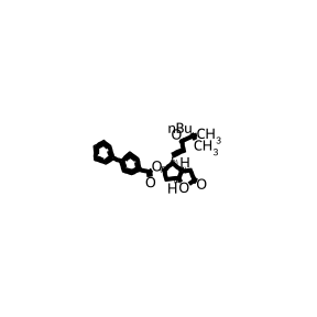 CCCCC(C)(C)C(=O)C=C[C@@H]1[C@H]2CC(=O)O[C@H]2C[C@H]1OC(=O)c1ccc(-c2ccccc2)cc1